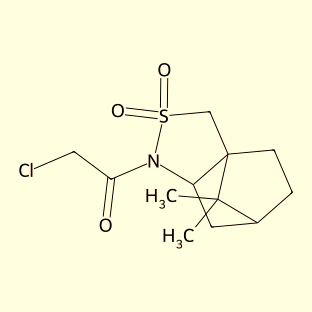 CC1(C)C2CCC13CS(=O)(=O)N(C(=O)CCl)C3C2